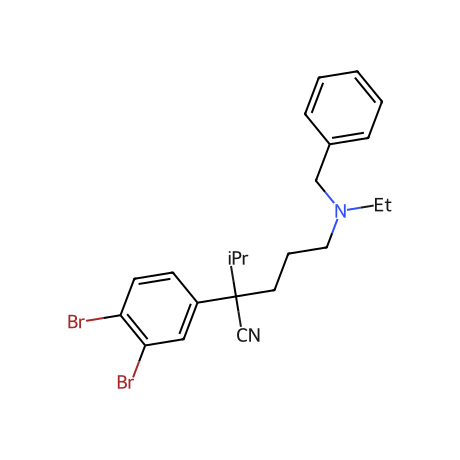 CCN(CCCC(C#N)(c1ccc(Br)c(Br)c1)C(C)C)Cc1ccccc1